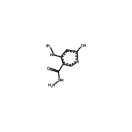 CC(C)Nc1cc(C#N)ncc1C(=O)NN